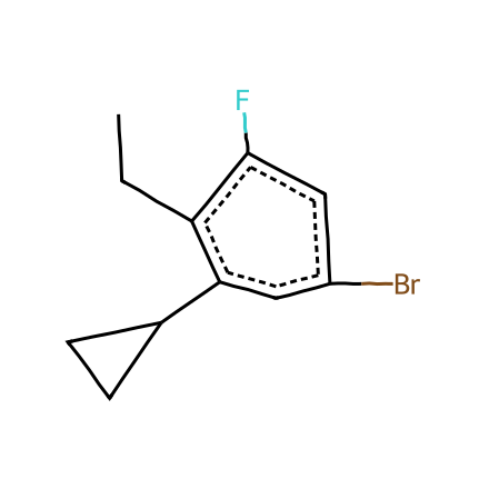 CCc1c(F)cc(Br)cc1C1CC1